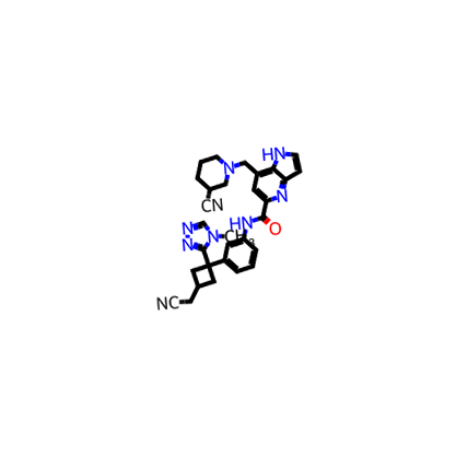 Cn1cnnc1C1(c2cccc(NC(=O)c3cc(CN4CCCC(C#N)C4)c4[nH]ccc4n3)c2)CC(CC#N)C1